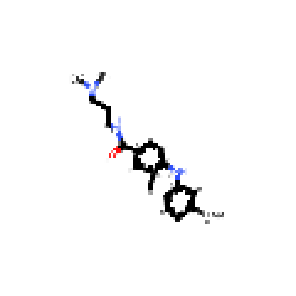 CCN(CC)CCCNC(=O)c1ccc(Nc2cccc(OC)c2)c(C)c1